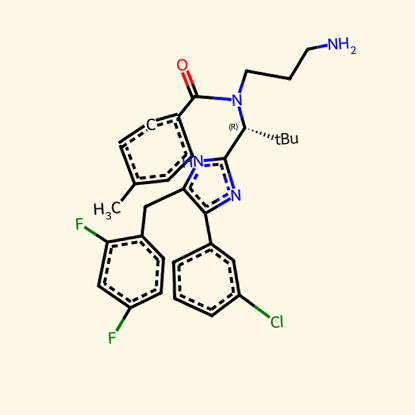 Cc1ccc(C(=O)N(CCCN)[C@@H](c2nc(-c3cccc(Cl)c3)c(Cc3ccc(F)cc3F)[nH]2)C(C)(C)C)cc1